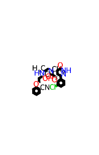 CN(CC(C)(C)NC(O)CCOc1ccccc1C#N)C(=O)COc1c(Cl)cccc1C1=NNC(=O)CC1